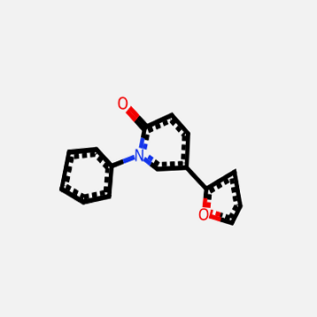 O=c1ccc(-c2ccco2)cn1-c1ccccc1